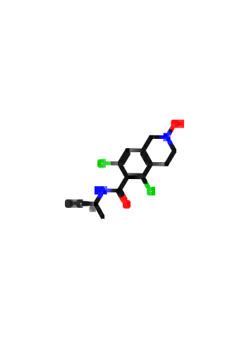 C[C@@H](C=O)NC(=O)c1c(Cl)cc2c(c1Cl)CCN(O)C2